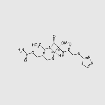 CO[C@@]1(NC(=O)CSc2nncs2)C(=O)N2C(C(=O)O)=C(COC(N)=O)CS[C@@H]21